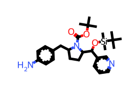 CC(C)(C)OC(=O)N1C(Cc2ccc(N)cc2)CCC1C(O[Si](C)(C)C(C)(C)C)c1cccnc1